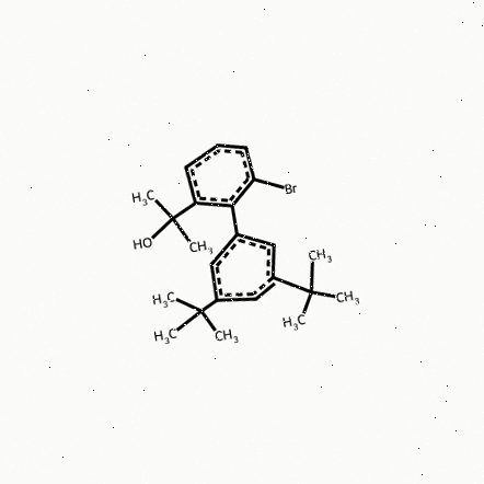 CC(C)(C)c1cc(-c2c(Br)cccc2C(C)(C)O)cc(C(C)(C)C)c1